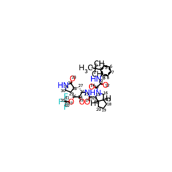 CC(C)(C)c1ccccc1NC(=O)C(=O)N1C[C@@H]2CCC[C@@H]2[C@H]1C(=O)N[C@@H](C[C@@H]1CCNC1=O)C(=O)COC(F)(F)F